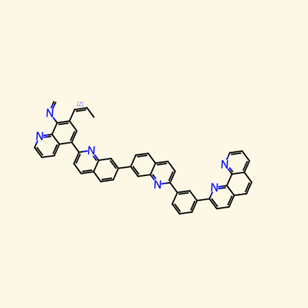 C=Nc1c(/C=C\C)cc(-c2ccc3ccc(-c4ccc5ccc(-c6cccc(-c7ccc8ccc9cccnc9c8n7)c6)nc5c4)cc3n2)c2cccnc12